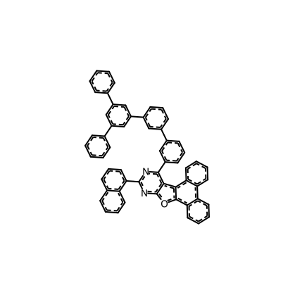 c1ccc(-c2cc(-c3ccccc3)cc(-c3cccc(-c4cccc(-c5nc(-c6cccc7ccccc67)nc6oc7c8ccccc8c8ccccc8c7c56)c4)c3)c2)cc1